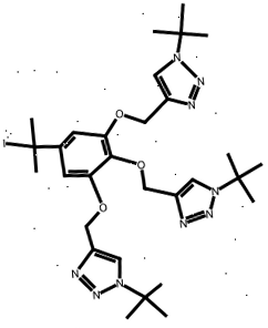 CC(C)(I)c1cc(OCc2cn(C(C)(C)C)nn2)c(OCc2cn(C(C)(C)C)nn2)c(OCc2cn(C(C)(C)C)nn2)c1